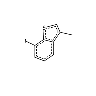 Cc1csc2c(I)cccc12